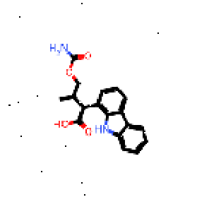 CC(COC(N)=O)C(C(=O)O)c1cccc2c1[nH]c1ccccc12